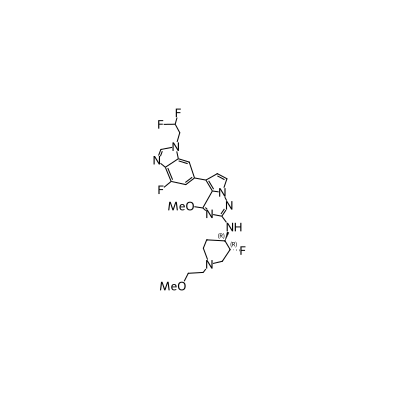 COCCN1CC[C@@H](Nc2nc(OC)c3c(-c4cc(F)c5ncn(CC(F)F)c5c4)ccn3n2)[C@H](F)C1